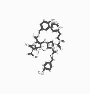 CC(O)[C@H]1C(=O)N2C(C(=O)OCc3ccc([N+](=O)[O-])cc3)=C(S[C@H]3C[C@@H](C(=O)N(C)CCc4ccccn4)N(C(=O)OCc4ccc([N+](=O)[O-])cc4)C3)[C@H](C)[C@H]12